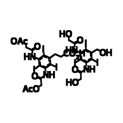 CC(=O)OCC(=O)Nc1c(I)c(CCC(=O)O)c(I)c(NC(=O)COC(C)=O)c1I.O=C(CO)Nc1c(I)c(CO)c(I)c(NC(=O)CO)c1I